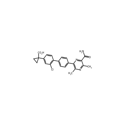 Cc1nc(C)c(-c2ccc(-c3ccc(C4(C(=O)O)CC4)cc3Cl)cc2)nc1C(N)=O